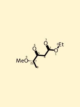 CCOC(=O)CC(=O)[C@H](C)OC